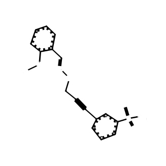 COc1ccccc1/C=N/OCC#Cc1cccc(S(C)(=O)=O)c1